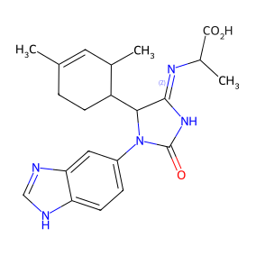 CC1=CC(C)C(C2/C(=N/C(C)C(=O)O)NC(=O)N2c2ccc3[nH]cnc3c2)CC1